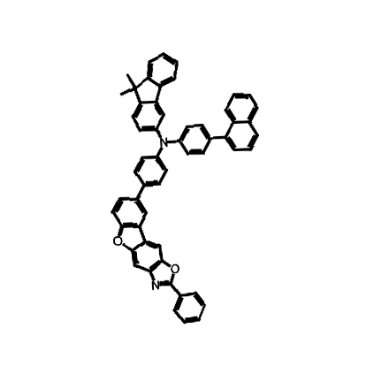 CC1(C)c2ccccc2-c2cc(N(c3ccc(-c4ccc5oc6cc7nc(-c8ccccc8)oc7cc6c5c4)cc3)c3ccc(-c4cccc5ccccc45)cc3)ccc21